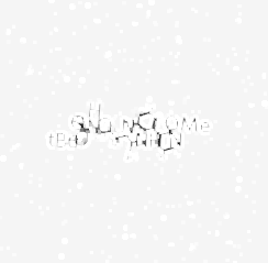 COc1ncccc1-c1cccc([N+](=O)[O-])c1NC(C)CCCCNC(=O)OC(C)(C)C